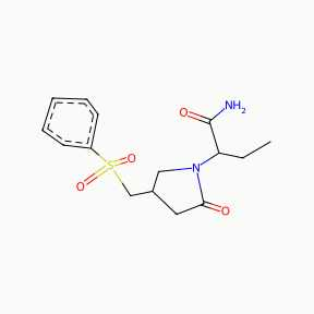 CCC(C(N)=O)N1CC(CS(=O)(=O)c2ccccc2)CC1=O